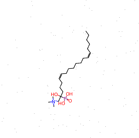 CCCCC/C=C\CCCCCC/C=C\CCCC(O)(C[N+](C)(C)C)P(=O)(O)O